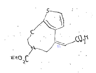 CCOC(=O)N1CCc2sccc2/C(=C\C(=O)O)C1